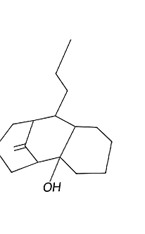 C=C1C2CCCC1C1(O)CCCCC1C2CCC